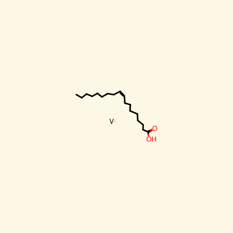 CCCCCCCC/C=C\CCCCCCCC(=O)O.[V]